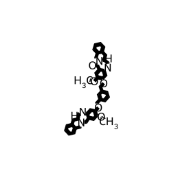 COc1cc2c(cc1OCc1cccc(COc3cc4c(cc3OC)C(=O)N3Cc5ccccc5C[C@H]3C=N4)c1)N=C[C@@H]1Cc3ccccc3CN1C2